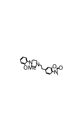 COc1ccccc1N1CCN(CCc2ccc3c(c2)oc(=O)n3C)CC1